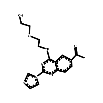 CC(=O)c1ccc2nc(-n3ccnc3)nc(NCCOCCO)c2c1